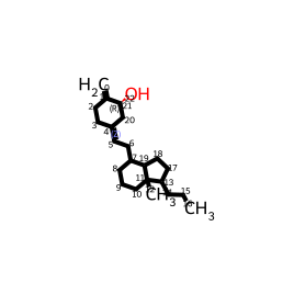 C=C1CC/C(=C/CC2CCCC3(C)C(CCC)CCC23)C[C@H]1O